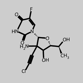 C[C@H](O)[C@H]1O[C@@H](n2cc(F)c(=O)[nH]c2=O)C(N)(C#CCl)C1O